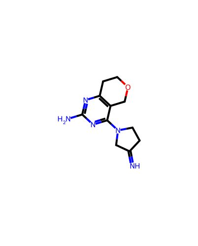 N=C1CCN(c2nc(N)nc3c2COCC3)C1